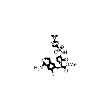 COC(=O)[C@@H](Cc1cc2ccnc(N)c2cc1Cl)N1CC[C@H](NS(=O)(=O)c2cnc(N(C)C)s2)C1=O